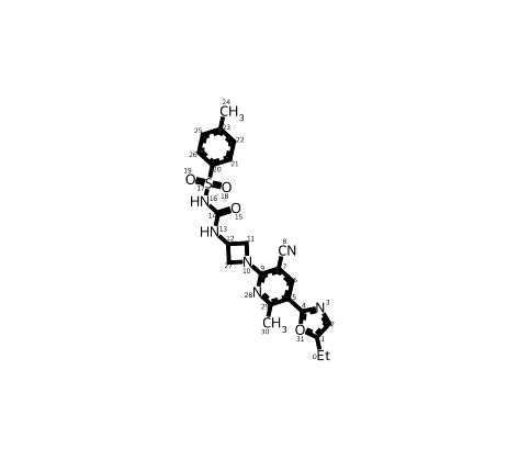 CCc1cnc(-c2cc(C#N)c(N3CC(NC(=O)NS(=O)(=O)c4ccc(C)cc4)C3)nc2C)o1